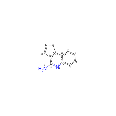 Nc1nc2ccccc2c2c1C=CC2